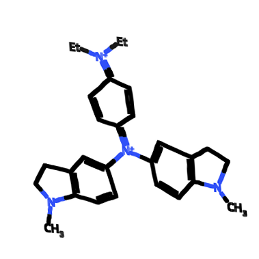 CC[N+](CC)=C1C=CC(=[N+](c2ccc3c(c2)CCN3C)c2ccc3c(c2)CCN3C)C=C1